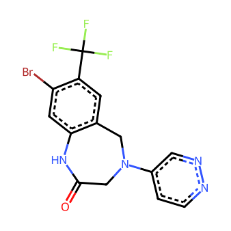 O=C1CN(c2ccnnc2)Cc2cc(C(F)(F)F)c(Br)cc2N1